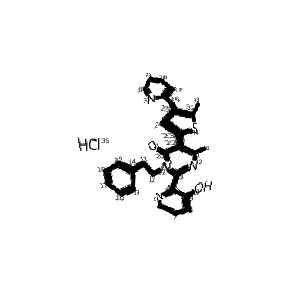 Cc1nc(-c2ncccc2O)n(CCc2ccccc2)c(=O)c1-c1cc(-c2ccccn2)c(C)s1.Cl